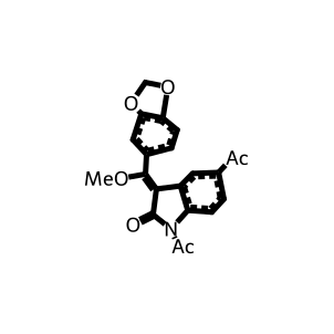 COC(=C1C(=O)N(C(C)=O)c2ccc(C(C)=O)cc21)c1ccc2c(c1)OCO2